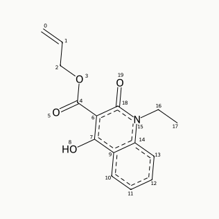 C=CCOC(=O)c1c(O)c2ccccc2n(CC)c1=O